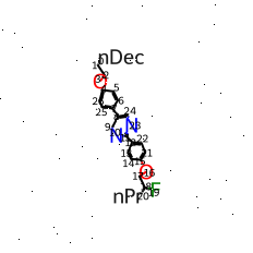 CCCCCCCCCCCCOc1ccc(-c2cnc(-c3ccc(OCC(F)CCC)cc3)nc2)cc1